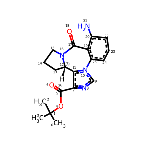 CC(C)(C)OC(=O)c1ncn2c1[C@@H]1CCCN1C(=O)c1c(N)cccc1-2